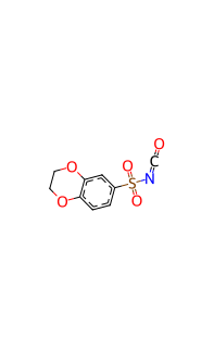 O=C=NS(=O)(=O)c1ccc2c(c1)OCCO2